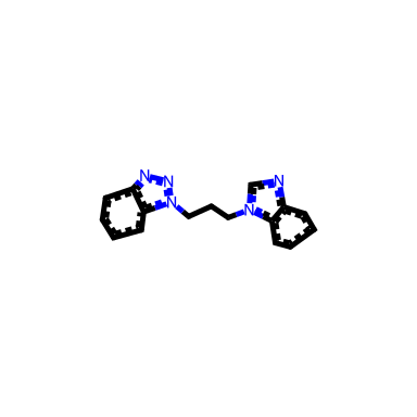 c1ccc2c(c1)ncn2CCCn1nnc2ccccc21